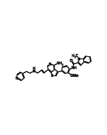 COc1cc(-c2csc3c(C=CCNCCc4ccncc4)cnc(N)c23)ccc1NC(=O)c1cc2ccccc2n1C